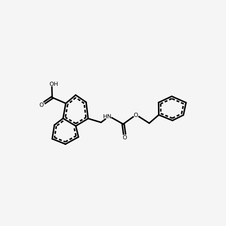 O=C(NCc1ccc(C(=O)O)c2ccccc12)OCc1ccccc1